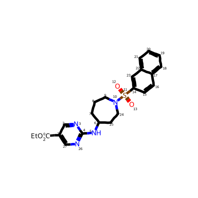 CCOC(=O)c1cnc(NC2CCCN(S(=O)(=O)c3ccc4ccccc4c3)CC2)nc1